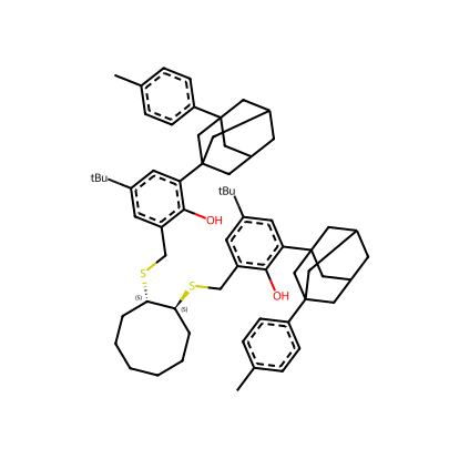 Cc1ccc(C23CC4CC(C2)CC(c2cc(C(C)(C)C)cc(CS[C@H]5CCCCCC[C@@H]5SCc5cc(C(C)(C)C)cc(C67CC8CC(CC(c9ccc(C)cc9)(C8)C6)C7)c5O)c2O)(C4)C3)cc1